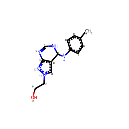 Cc1ccc(NC2NC=Nc3nn(CCO)cc32)cc1